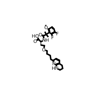 COc1ccc(F)c(F)c1C(C)(C)C(=O)N[C@@H](CCOCCCCc1ccc2c(n1)NCCC2)C(=O)O